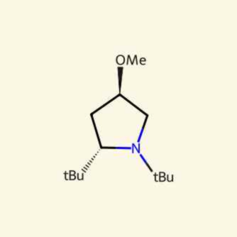 CO[C@@H]1C[C@@H](C(C)(C)C)N(C(C)(C)C)C1